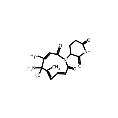 C/C1=C/C(=O)N(C2CCC(=O)NC2=O)C(=O)/C=C/C=C(\C)C1(C)N